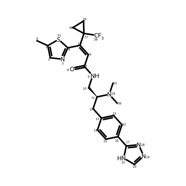 Cc1cnc(C(=CC(=O)NC[C@H](Cc2ccc(-c3nnc[nH]3)cc2)N(C)C)C2(C(F)(F)F)CC2)s1